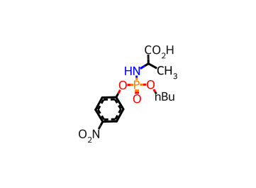 CCCCOP(=O)(NC(C)C(=O)O)Oc1ccc([N+](=O)[O-])cc1